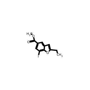 CCc1cc2cc(C(=O)OC)cc(I)c2o1